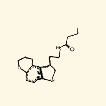 CCCC(=O)NCCC1CNc2ccc3c(c21)CCCO3